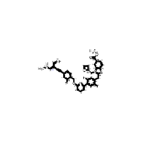 CN/C=C(/C#Cc1ccc(COc2cccc(-c3cc(F)c(Cc4nc5ccc(C(=O)OC)cc5n4C[C@@H]4CCO4)cc3F)n2)c(F)c1)C=N